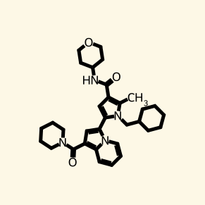 Cc1c(C(=O)NC2CCOCC2)cc(-c2cc(C(=O)N3CCCCC3)c3ccccn23)n1CC1CCCCC1